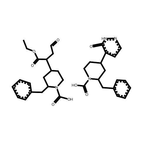 CCOC(=O)C(CC=O)C1CCN(C(=O)O)C(Cc2ccccc2)C1.O=C(O)N1CCC(c2ccn[nH]c2=O)CC1Cc1ccccc1